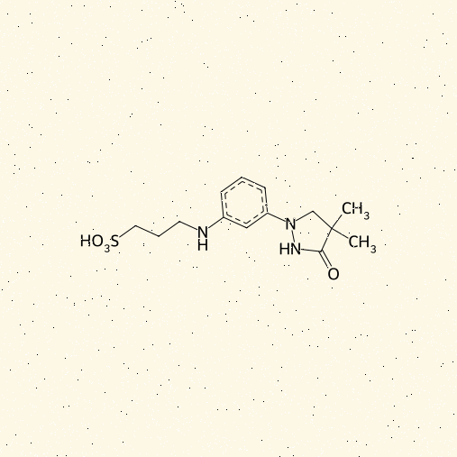 CC1(C)CN(c2cccc(NCCCS(=O)(=O)O)c2)NC1=O